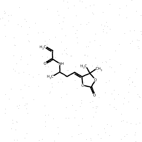 C=CC(=O)NC(C)CC=C1OC(=O)OC1(C)C